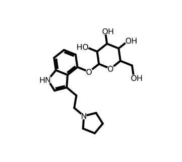 OCC1OC(Oc2cccc3[nH]cc(CCN4CCCC4)c23)C(O)C(O)C1O